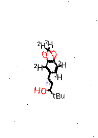 [2H]c1c([2H])c2c(c([2H])c1/C=C/C(O)C(C)(C)C)OC([2H])([2H])O2